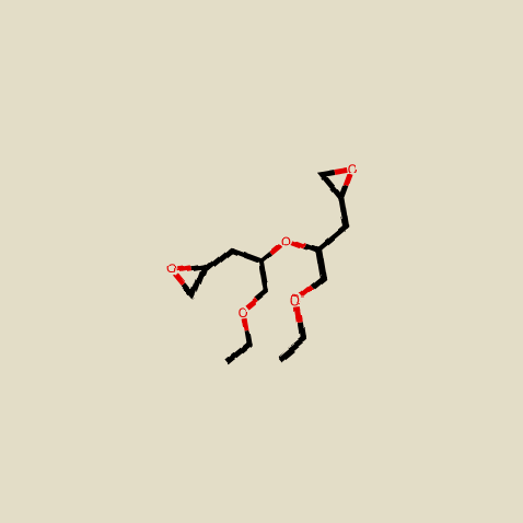 CCOCC(CC1CO1)OC(COCC)CC1CO1